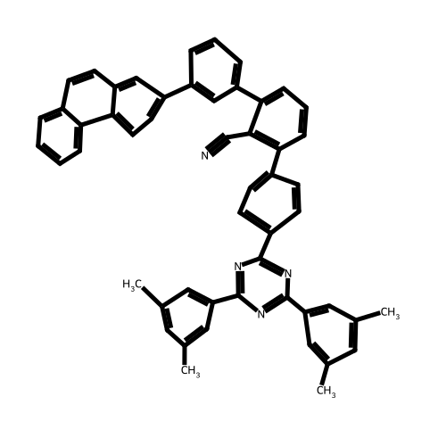 Cc1cc(C)cc(-c2nc(-c3ccc(-c4cccc(-c5cccc(-c6ccc7c(ccc8ccccc87)c6)c5)c4C#N)cc3)nc(-c3cc(C)cc(C)c3)n2)c1